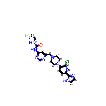 CCNC(=O)Nc1cc(CN2CCN(c3ccc(-c4ncc[nH]4)nc3Cl)CC2)ncn1